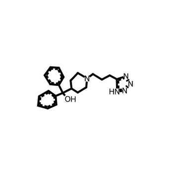 OC(c1ccccc1)(c1ccccc1)C1CCN(CCCc2nnn[nH]2)CC1